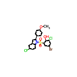 COc1ccc(-c2cc3cc(Cl)ccc3n2S(=O)(=O)c2cc(Br)cc(Cl)c2O)cc1